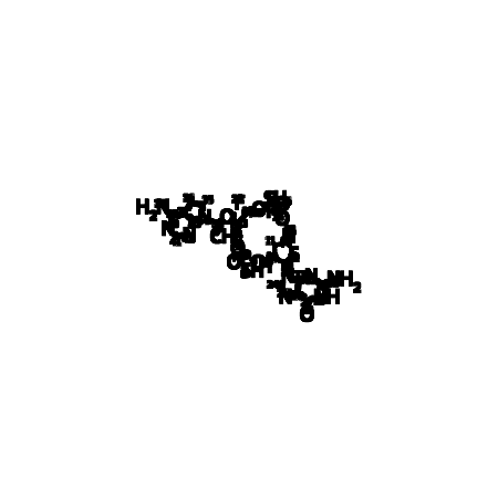 C[C@@H](O[C@@H]1COP(=O)(S)O[C@@H]2C[C@@H](COP(=O)(S)O[C@H]1F)S[C@H]2n1cnc2c(=O)[nH]c(N)nc21)n1ccc2c(N)ncnc21